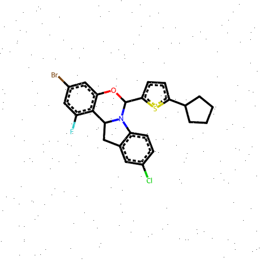 Fc1cc(Br)cc2c1C1Cc3cc(Cl)ccc3N1C(c1ccc(C3CCCC3)s1)O2